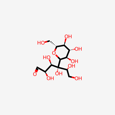 O=C[C@H](O)[C@@H](O)[C@@](O)(C1O[C@H](CO)[C@@H](O)[C@H](O)[C@H]1O)[C@H](O)CO